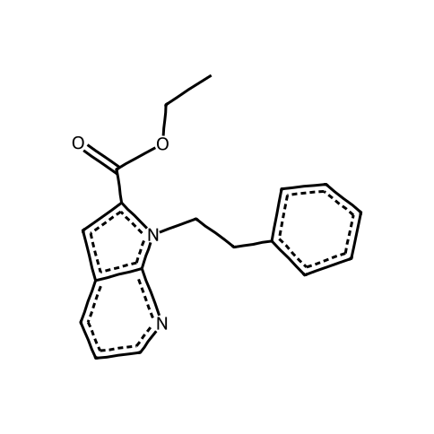 CCOC(=O)c1cc2cccnc2n1CCc1ccccc1